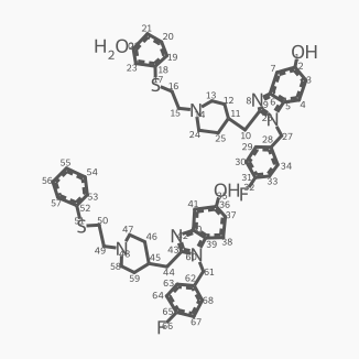 O.Oc1ccc2c(c1)nc(CC1CCN(CCSc3ccccc3)CC1)n2Cc1ccc(F)cc1.Oc1ccc2c(c1)nc(CC1CCN(CCSc3ccccc3)CC1)n2Cc1ccc(F)cc1